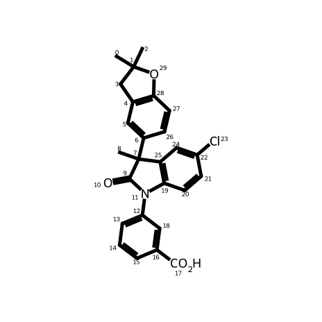 CC1(C)Cc2cc(C3(C)C(=O)N(c4cccc(C(=O)O)c4)c4ccc(Cl)cc43)ccc2O1